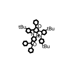 CC(C)(C)c1ccc(N2B3c4cc5oc(-c6ccccc6)c(-c6ccccc6)c5cc4-n4c5ccc(C(C)(C)C)cc5c5c6c(oc7ccccc76)c(c3c54)-c3cc(C(C)(C)C)ccc32)cc1